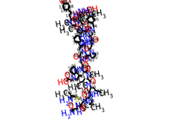 CCCC[C@@H](C(=O)N(C)[C@@H](CCCC)C(=O)N[C@@H](CC(C)C)C(=O)N[C@@H](CSCC(N)CC)C(=O)NCC(N)=O)N(C)C(=O)[C@H](Cc1cn(CC(=O)O)c2ccccc12)NC(=O)CNC(=O)[C@H](Cc1c[nH]c2ccccc12)NC(=O)C1CCCN1C(=O)CNC(=O)[C@H](CNCc1cc(C)c(B(O)O)c(C)c1)NC(=O)C1CCCN1C(=O)[C@H](CC(N)=O)NC(=O)[C@H](C)N(C)C(=O)CCc1ccc(O)cc1